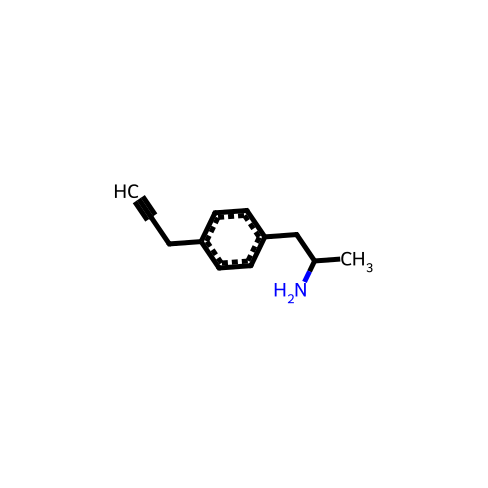 C#CCc1ccc(CC(C)N)cc1